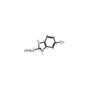 CCCCCCc1nc2cc([O])ccc2s1